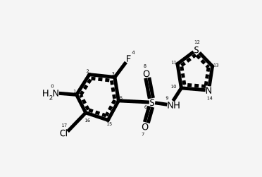 Nc1cc(F)c(S(=O)(=O)Nc2cscn2)cc1Cl